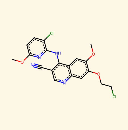 COc1ccc(Cl)c(Nc2c(C#N)cnc3cc(OCCCl)c(OC)cc23)n1